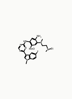 CCN(C)CCN(C)c1cc(OC)c(Nc2ncnc(-c3cn(C)c4ccc(F)cc34)n2)cc1N